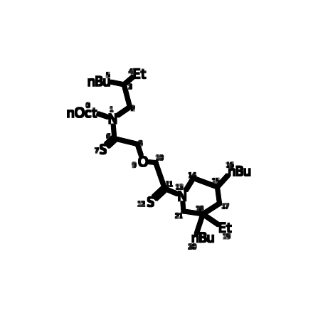 CCCCCCCCN(CC(CC)CCCC)C(=S)COCC(=S)N1CC(CCCC)CC(CC)(CCCC)C1